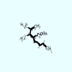 C=C/C=C\C(NC)=C(/C)C(=C)C